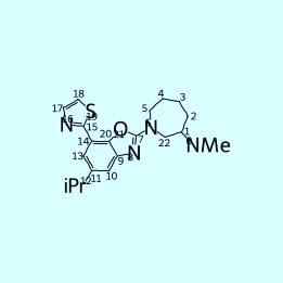 CNC1CCCCN(c2nc3cc(C(C)C)cc(-c4nccs4)c3o2)C1